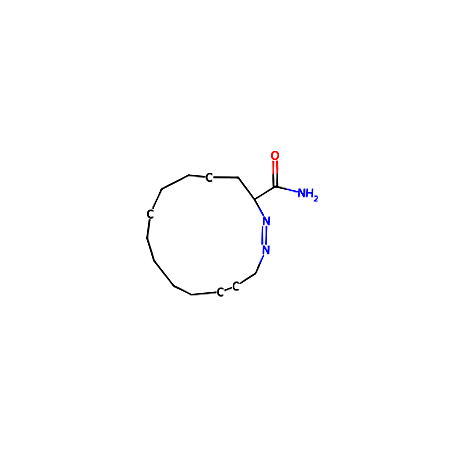 NC(=O)C1CCCCCCCCCCCCN=N1